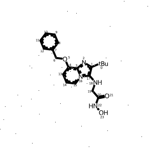 CC(C)(C)c1nc2c(OCc3ccccc3)cccn2c1NCC(=O)NO